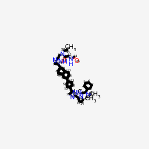 C=C(C(C1=CC=CCC1)N(C)C)N1CCCC1c1ncc(-c2ccc(-c3ccc4cc(-c5cnc(CN(CCC)C(=O)CNC=O)[nH]5)ccc4c3)cc2)[nH]1